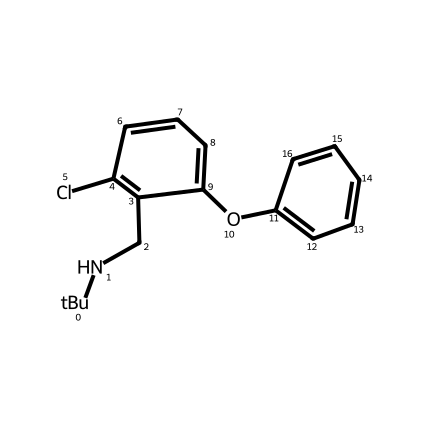 CC(C)(C)NCc1c(Cl)cccc1Oc1ccccc1